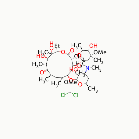 CC[C@@H]1OC(=O)[C@H](C)[C@@H](O[C@H]2C[C@@](C)(OC)[C@@H](O)[C@H](C)O2)[C@H](C)[C@@H](O[C@@H]2O[C@H](C)C[C@H](N(C)C)[C@H]2O)[C@](C)(OC)C[C@@H](C)C(=O)[C@@H](C)[C@@H](O)[C@]1(C)O.ClCCl